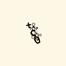 Cn1c(=O)n(CC(C)(C)C)c2ccc(C3CC4CCC(C3)N4C(=O)O)nc21